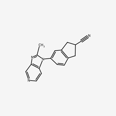 Cc1nc2cnccc2n1-c1ccc2c(c1)CC(C#N)C2